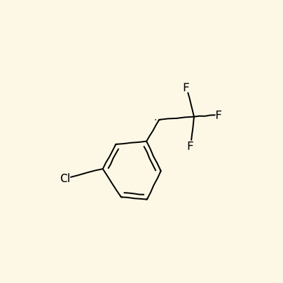 FC(F)(F)[CH]c1cccc(Cl)c1